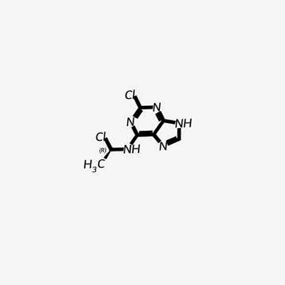 C[C@@H](Cl)Nc1nc(Cl)nc2[nH]cnc12